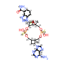 NC(=O)c1cccc2c1nnn2[C@@H]1O[C@@H]2COP(O)(=S)OC[C@@H]3C(COP(O)(=S)O[C@@H]1[C@@H]2F)C[C@H]3n1cnc2c(N)ncnc21